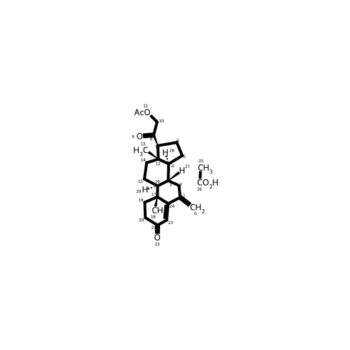 C=C1C[C@H]2[C@@H]3CC[C@H](C(=O)COC(C)=O)[C@@]3(C)CC[C@@H]2[C@@]2(C)CCC(=O)C=C12.CC(=O)O